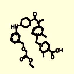 CCOC(=O)COCc1cccc(N[C@H]2CC[C@H](C(=O)N(C)c3ccc(CN4CCN(C(=O)O)[C@@H](C)C4)c(C)c3)CC2)c1